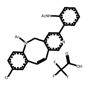 CC(=O)Nc1ccccc1-c1cc2c(cn1)/C=C\c1cc(Cl)ccc1N(C(C)=O)C2.O=C(O)C(F)(F)F